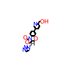 O=C1O[C@@H](Cn2ccnn2)[C@@H]2COc3cc(-c4ccc(CO)nc4)ccc3N12